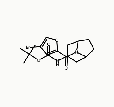 CC(C)(C)OC(=O)NC1CC2CCC(C1)N2C(=O)c1cc(Br)co1